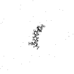 C=C(CC)SC(=N)C1=CC=C(c2ccc(C3=NC=C(CC)CS3)s2)CS1